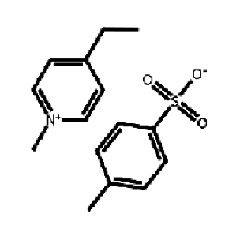 CCc1cc[n+](C)cc1.Cc1ccc(S(=O)(=O)[O-])cc1